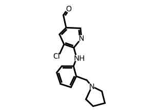 O=Cc1cnc(Nc2ccccc2CN2CCCC2)c(Cl)c1